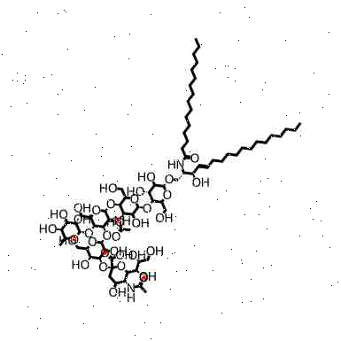 CCCCCCCCCCCCC/C=C/[C@@H](O)[C@H](CO[C@@H]1OC(CO)[C@@H](O[C@@H]2OC(CO)[C@H](O[C@@H]3OC(CO)[C@H](O[C@H]4OC(C)[C@@H](O)C(O)[C@@H]4O)[C@H](O[C@@H]4OC(CO)[C@H](O)[C@H](O[C@]5(C(=O)O)CC(O)[C@@H](NC(C)=O)C([C@H](O)[C@H](O)CO)O5)C4O)C3NC(C)=O)[C@H](O)C2O)[C@H](O)C1O)NC(=O)CCCCCCCCCCCCCCC